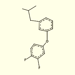 CC(C)Cc1cccc(Oc2ccc(F)c(F)c2)c1